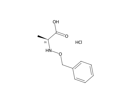 C[C@H](NOCc1ccccc1)C(=O)O.Cl